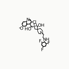 COc1ccc2ncc(Cl)c([C@H](O)CCC3(C(=O)O)CCN(CCNc4c(F)cc(F)cc4F)CC3)c2c1